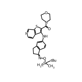 CC(C)(C)[Si](C)(C)O/N=C1/CCc2cc(Nc3c(C(=O)N4CCOCC4)sc4cnccc34)ccc21